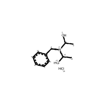 CC(O)N(Cc1ccccc1)C(C)O.Cl